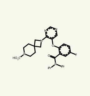 CC(C)N(C(=O)c1cc(F)ccc1Oc1cncnc1N1CC2(CCN(C(=O)O)CC2)C1)C(C)C